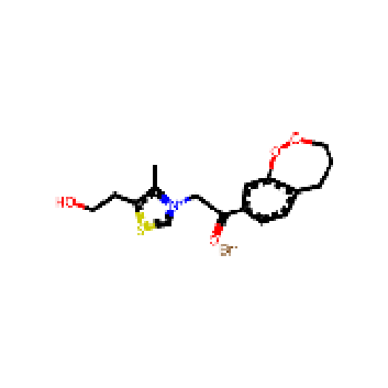 Cc1c(CCO)sc[n+]1CC(=O)c1ccc2c(c1)OOCCC2.[Br-]